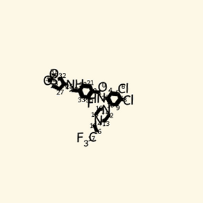 O=C(Nc1cc(Cl)c(Cl)cc1N1CCN(CCC(F)(F)F)CC1)c1ccc(CNC2CCS(=O)(=O)C2)cc1F